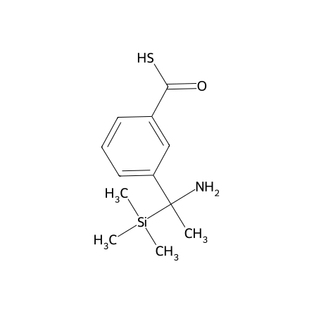 CC(N)(c1cccc(C(=O)S)c1)[Si](C)(C)C